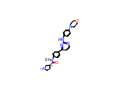 CCN(C(=O)[C@H]1CCNC1)c1ccc(-c2ccnc(Nc3ccc(N4CCOCC4)cc3)n2)cc1